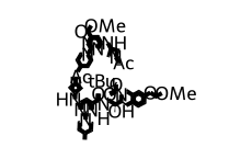 COC(=O)c1cc(NC2CN(C(C)=O)C2)nc(N2CCC(C)CC2)n1.COCOc1ccc2c(c1)CN(C(=O)OC(C)(C)C)[C@H]([C@H](O)CNC(=O)c1cc(NC3CN(C(C)=O)C3)nc(N3CCC(C)CC3)n1)C2